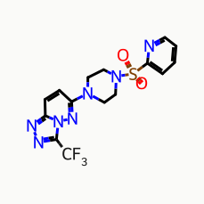 O=S(=O)(c1ccccn1)N1CCN(c2ccc3nnc(C(F)(F)F)n3n2)CC1